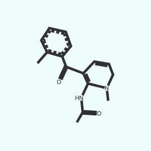 CC(=O)NC1=C(C(=O)c2ccccc2C)C=CCN1C